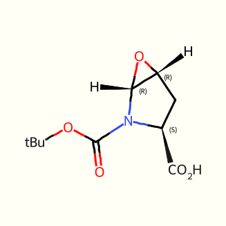 CC(C)(C)OC(=O)N1[C@@H]2O[C@@H]2C[C@H]1C(=O)O